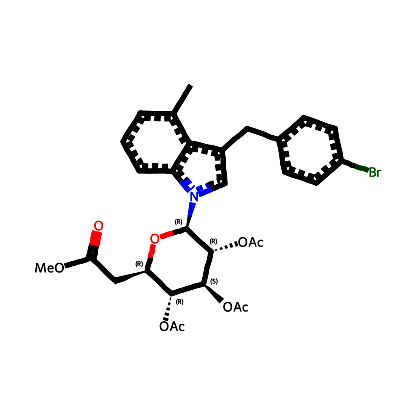 COC(=O)C[C@H]1O[C@@H](n2cc(Cc3ccc(Br)cc3)c3c(C)cccc32)[C@H](OC(C)=O)[C@@H](OC(C)=O)[C@@H]1OC(C)=O